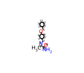 CC(/N=C/c1ccc(OCc2ccccc2)cc1)C(N)=O